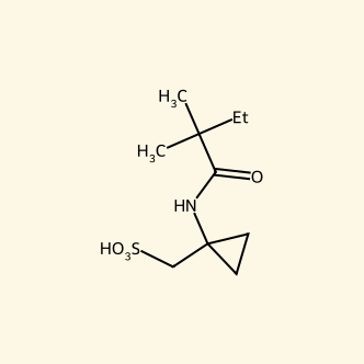 CCC(C)(C)C(=O)NC1(CS(=O)(=O)O)CC1